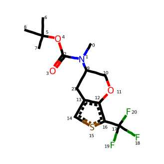 CN(C(=O)OC(C)(C)C)C1COc2c(csc2C(F)(F)F)C1